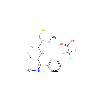 CN[C@@H](CS)C(=O)NC(CS)[C@H](NC)c1ccccc1.O=C(O)C(F)(F)F